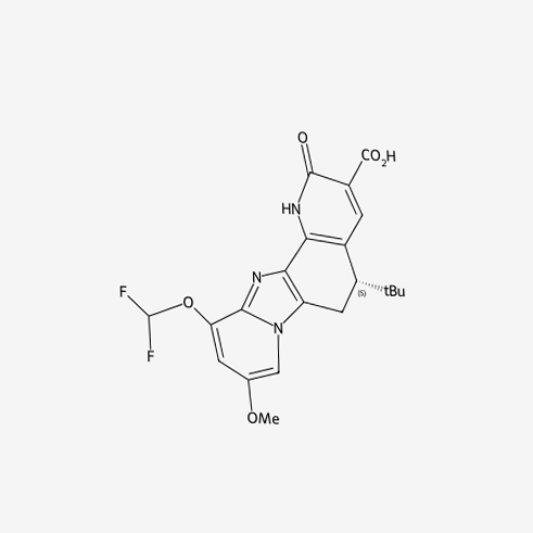 COc1cc(OC(F)F)c2nc3c(n2c1)C[C@@H](C(C)(C)C)c1cc(C(=O)O)c(=O)[nH]c1-3